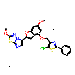 COc1cc(OCc2nc(-c3ccccc3)sc2Cl)c2cc(-c3cnc4sc(OC)nn34)oc2c1